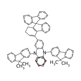 CC1(C)c2ccccc2-c2ccc(N(c3ccccc3)c3ccc(C4=CCCC5=C4c4ccccc4C54c5ccccc5-c5ccccc54)cc3N(c3ccccc3)c3ccc4c(c3)C(C)(C)c3ccccc3-4)cc21